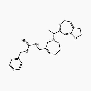 CC(C1=CCC=C2CCOC2=C1)N1CCCC=C(CPC(=N)OCc2ccccc2)C1